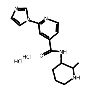 CC1NCCCC1NC(=O)c1ccnc(-n2ccnc2)c1.Cl.Cl